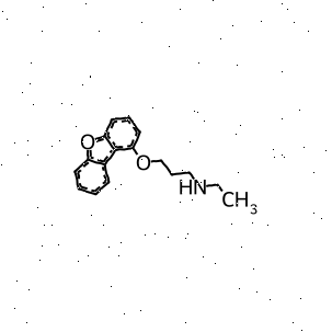 CCNCCCOc1cccc2oc3ccccc3c12